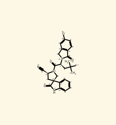 CC(C)(F)C[C@@H](C(=O)N1C[C@]2(C[C@H]1C#N)C(=O)Nc1ccccc12)N1Cc2cc(Cl)ccc2C1=O